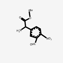 CC(C)(C)OC(=O)C(N)c1ccc([N+](=O)[O-])c(C=O)c1